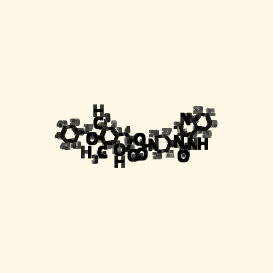 Cc1cc(C[C@@H](OC(=O)N2CCC(n3c(=O)[nH]c4c5ccccc5ncc43)CC2)C(=O)O)cc(C)c1OCc1ccccc1